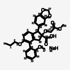 CCCOc1ccc2c(c1-c1ccccc1OC)CC(OCC(=O)OC)(C(=O)O)C2c1ccc2c(c1)OCO2.[NaH]